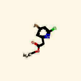 COC(=O)Cc1cc(Br)cc(Cl)n1